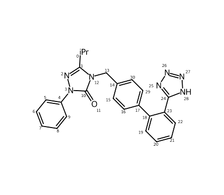 CC(C)c1nn(-c2ccccc2)c(=O)n1Cc1ccc(-c2ccccc2-c2nnn[nH]2)cc1